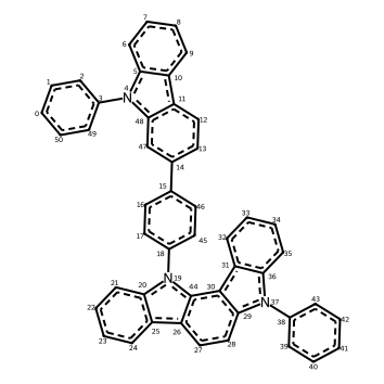 c1ccc(-n2c3ccccc3c3ccc(-c4ccc(-n5c6ccccc6c6ccc7c(c8ccccc8n7-c7ccccc7)c65)cc4)cc32)cc1